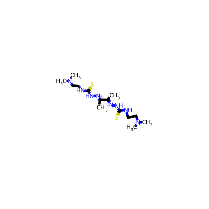 CC(=N\NC(=S)NCCN(C)C)/C(C)=N/NC(=S)NCCN(C)C